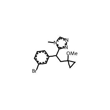 COC1(CC(c2cccc(Br)c2)c2nncn2C)CC1